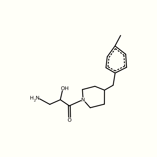 Cc1ccc(CC2CCN(C(=O)C(O)CN)CC2)cc1